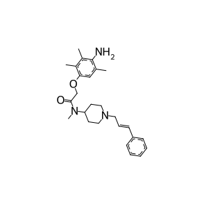 Cc1cc(OCC(=O)N(C)C2CCN(CC=Cc3ccccc3)CC2)c(C)c(C)c1N